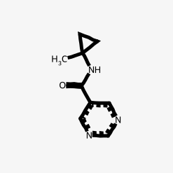 CC1(NC(=O)c2cncnc2)CC1